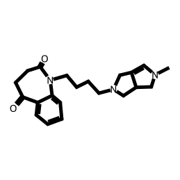 CN1C=C2CN(CCCCN3C(=O)CCC(=O)c4ccccc43)CC2C1